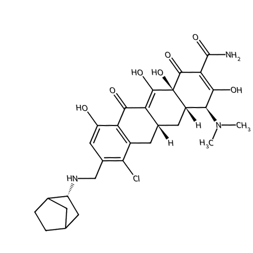 CN(C)[C@@H]1C(O)=C(C(N)=O)C(=O)[C@@]2(O)C(O)=C3C(=O)c4c(O)cc(CN[C@@H]5CC6CCC5C6)c(Cl)c4C[C@H]3C[C@@H]12